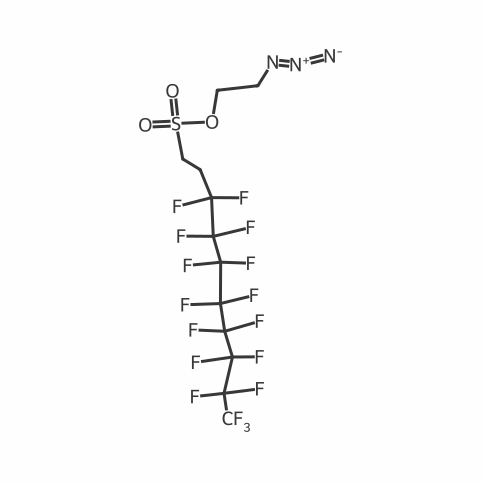 [N-]=[N+]=NCCOS(=O)(=O)CCC(F)(F)C(F)(F)C(F)(F)C(F)(F)C(F)(F)C(F)(F)C(F)(F)C(F)(F)F